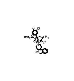 CCC(=O)N(C)C[C@](CCN1CCC2(CC1)c1ccccc1C[S+]2[O-])(c1ccc(Cl)c(Cl)c1)N(C)C(=O)OC(C)(C)C